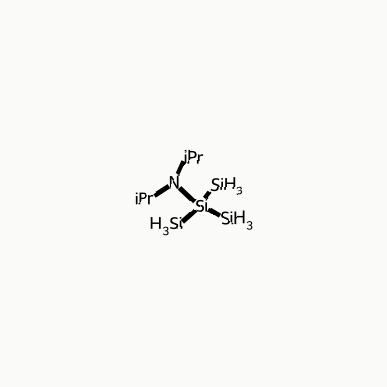 CC(C)N(C(C)C)[Si]([SiH3])([SiH3])[SiH3]